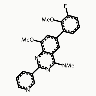 CNc1nc(-c2cccnc2)nc2c(OC)cc(-c3cccc(F)c3OC)cc12